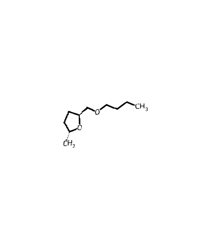 CCCCOC[C@@H]1CC[C@@H](C)O1